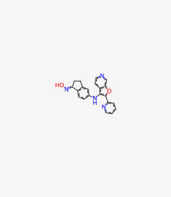 ON=C1CCc2cc(Nc3c(-c4ccccn4)oc4cnccc34)ccc21